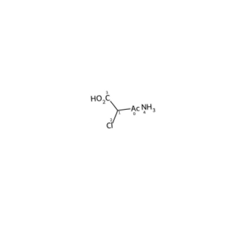 CC(=O)C(Cl)C(=O)O.N